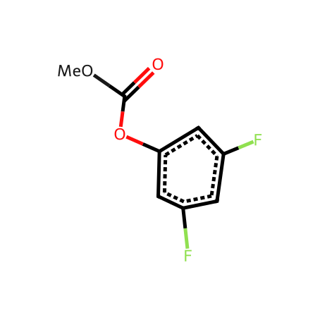 COC(=O)Oc1cc(F)cc(F)c1